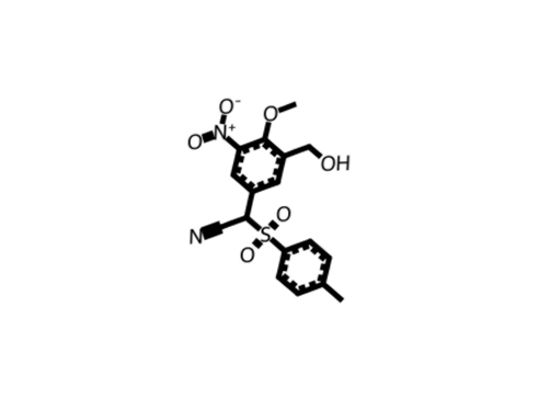 COc1c(CO)cc(C(C#N)S(=O)(=O)c2ccc(C)cc2)cc1[N+](=O)[O-]